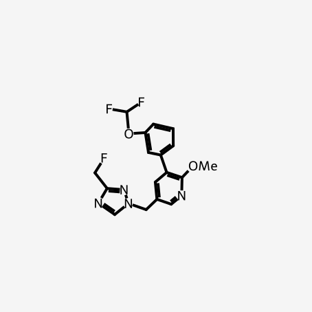 COc1ncc(Cn2cnc(CF)n2)cc1-c1cccc(OC(F)F)c1